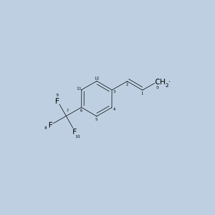 [CH2]C=Cc1ccc(C(F)(F)F)cc1